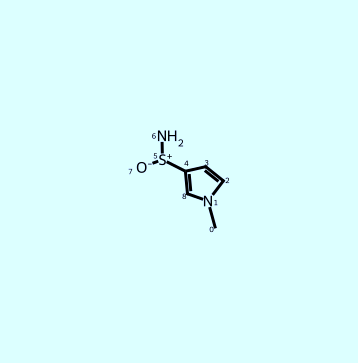 Cn1ccc([S+](N)[O-])c1